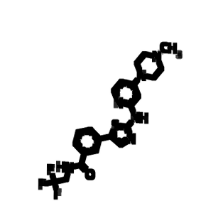 CN1CCN(c2ccnc(Nc3ncc(-c4cccc(C(=O)NCC(F)(F)F)c4)s3)c2)CC1